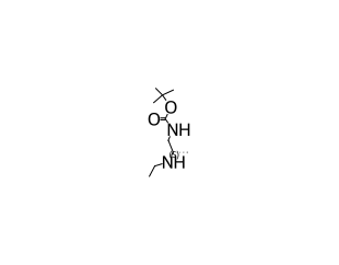 CCN[C@@H](C)CNC(=O)OC(C)(C)C